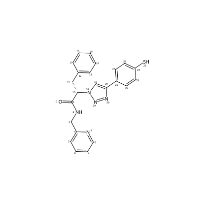 O=C(NCc1ccccn1)[C@H](Cc1ccccc1)n1cc(-c2ccc(S)cc2)nn1